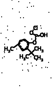 Cc1ccc(OP(O)OCl)c(C(C)(C)C)c1